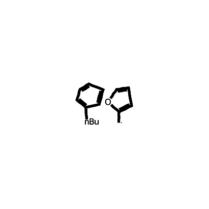 [CH2]CCCc1ccccc1.[CH2]c1ccco1